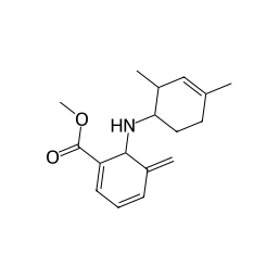 C=C1C=CC=C(C(=O)OC)C1NC1CCC(C)=CC1C